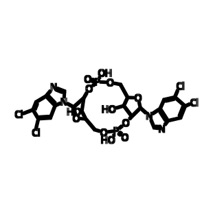 O=P1(O)OCC2OC(n3cnc4cc(Cl)c(Cl)cc43)C(OP(=O)(O)OCC3OC(n4cnc5cc(Cl)c(Cl)cc54)C(O1)C3O)C2O